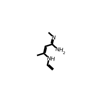 C=CN/C(C)=C\C(N)=N/C